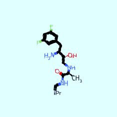 CC(C)CNC(=O)[C@H](C)NC[C@@H](O)C(N)Cc1cc(F)cc(F)c1